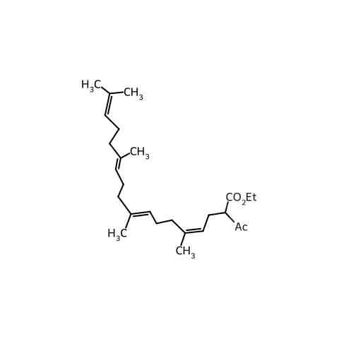 CCOC(=O)C(C/C=C(/C)CC/C=C(\C)CC/C=C(\C)CCC=C(C)C)C(C)=O